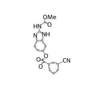 COC(=O)Nc1nc2ccc(OS(=O)(=O)c3cccc(C#N)c3)cc2[nH]1